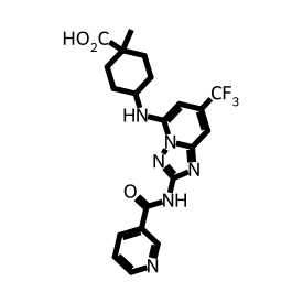 CC1(C(=O)O)CCC(Nc2cc(C(F)(F)F)cc3nc(NC(=O)c4cccnc4)nn23)CC1